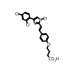 CCn1cc(-c2ccc(Cl)cc2Cl)nc1C=Cc1ccc(OCCCC(=O)O)cc1